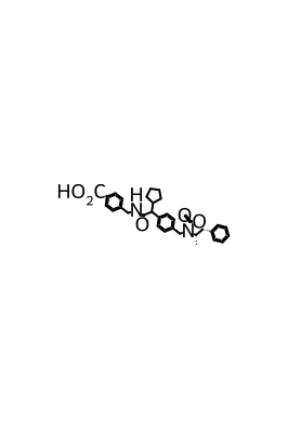 C[C@H]1[C@@H](c2ccccc2)OC(=O)N1Cc1ccc(C(C(=O)NCc2ccc(C(=O)O)cc2)C2CCCC2)cc1